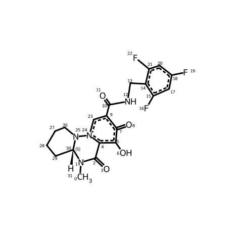 CN1C(=O)c2c(O)c(=O)c(C(=O)NCc3c(F)cc(F)cc3F)cn2N2CCCC[C@@H]12